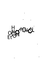 CCC1Oc2ncc(CN3CCN(c4ccc(C)nc4)CC3)cc2NC1=O